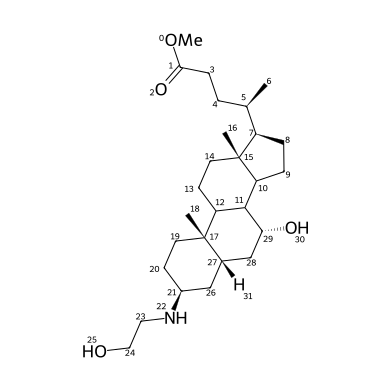 COC(=O)CC[C@@H](C)[C@H]1CCC2C3C(CC[C@@]21C)[C@@]1(C)CC[C@H](NCCO)C[C@H]1C[C@H]3O